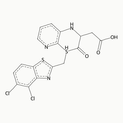 O=C(O)CC1Nc2cccnc2[SH](Cc2nc3c(Cl)c(Cl)ccc3s2)C1=O